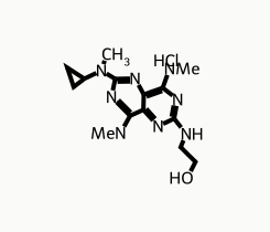 CNc1nc(N(C)C2CC2)nc2c(NC)nc(NCCO)nc12.Cl